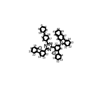 c1ccc(-c2ccc(-c3nc(-c4cccc5c4oc4ccccc45)nc(-c4cc(-n5c6ccccc6c6cc7ccccc7cc65)cc5c4oc4ccccc45)n3)cc2)cc1